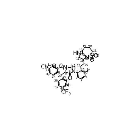 O=C(O)N[C@H](C(=O)Nc1cccc(F)c1CCC1CNC2CCCS(=O)(=O)N1C2)[C@@H](c1ccc(Cl)cc1)c1ccc(C(F)(F)F)nc1